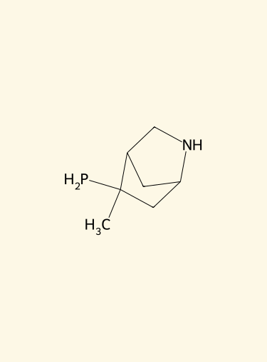 CC1(P)CC2CC1CN2